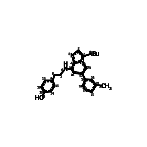 CCC(C)c1cnc2c(NCCc3ccc(O)cc3)cc(-c3cncc(C)c3)cn12